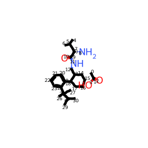 CC(=O)O.CC(C)[C@H](N)C(=O)NCC1CCCCC1c1ccccc1C(C)(C)C(C)C